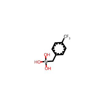 O[Si](O)(O)Cc1ccc(C(F)(F)F)cc1